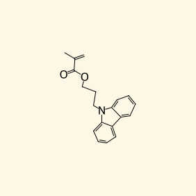 C=C(C)C(=O)OCCCn1c2ccccc2c2ccccc21